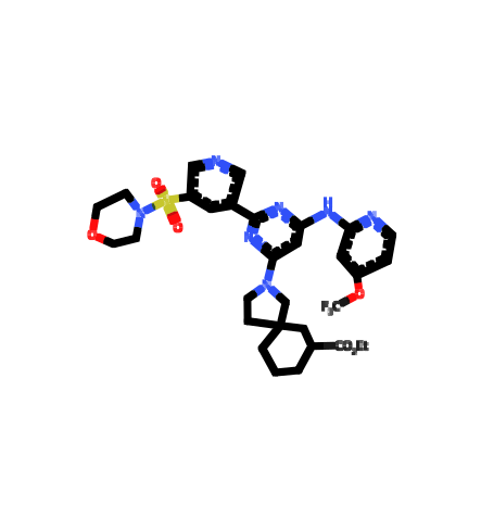 CCOC(=O)C1CCCC2(CCN(c3cc(Nc4cc(OC(F)(F)F)ccn4)nc(-c4cncc(S(=O)(=O)N5CCOCC5)c4)n3)C2)C1